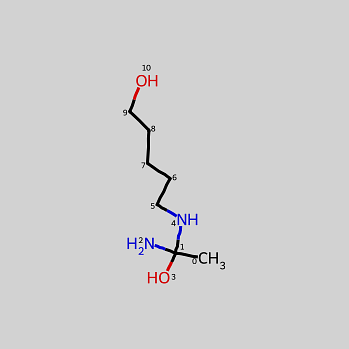 CC(N)(O)NCCCCCO